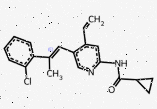 C=Cc1cc(NC(=O)C2CC2)ncc1/C=C(\C)c1ccccc1Cl